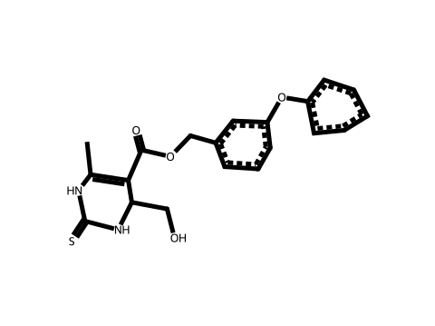 CC1=C(C(=O)OCc2cccc(Oc3ccccc3)c2)C(CO)NC(=S)N1